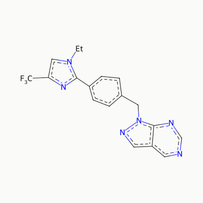 CCn1cc(C(F)(F)F)nc1-c1ccc(Cn2ncc3cncnc32)cc1